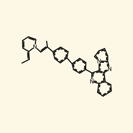 C/C=C1\C=CC=CN1/C=C(\C)c1ccc(-c2ccc(-c3nc4ccccc4c4nc5ccccn5c34)cc2)cc1